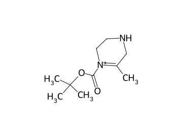 CC1=[N+](C(=O)OC(C)(C)C)CCNC1